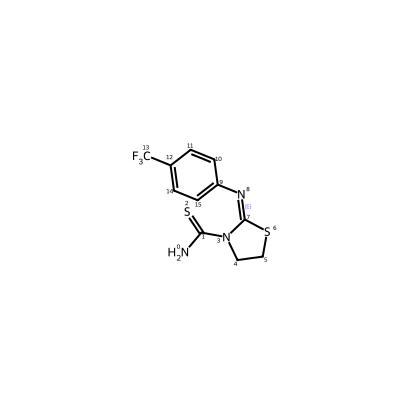 NC(=S)N1CCS/C1=N/c1ccc(C(F)(F)F)cc1